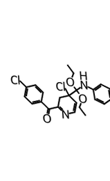 CCOC(Nc1ccccc1)(OCC)C1(Cl)C=CN=C(C(=O)c2ccc(Cl)cc2)C1